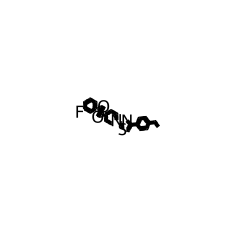 CCc1ccc(-c2csc(N3CCC(S(=O)(=O)c4cccc(F)c4)CC3)n2)cc1